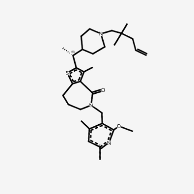 C=CCC(C)(C)CN1CCC([C@@H](C)c2sc3c(c2C)C(=O)N(Cc2c(C)cc(C)nc2OC)CCC3)CC1